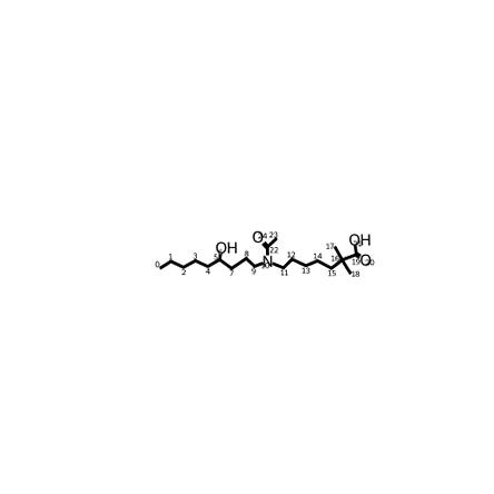 CCCCCC(O)CCCN(CCCCCC(C)(C)C(=O)O)C(C)=O